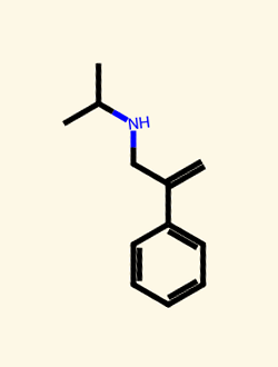 C=C(CNC(C)C)c1ccccc1